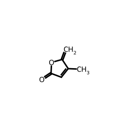 C=C1OC(=O)C=C1C